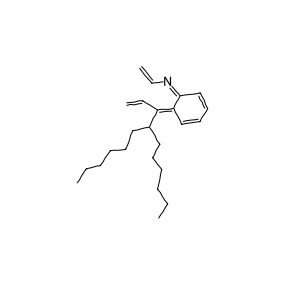 C=C/N=C1/C=CC=C/C1=C(/C=C)C(CCCCCC)CCCCCC